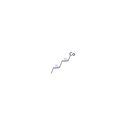 C/C=C/C=[CH]/[Co]